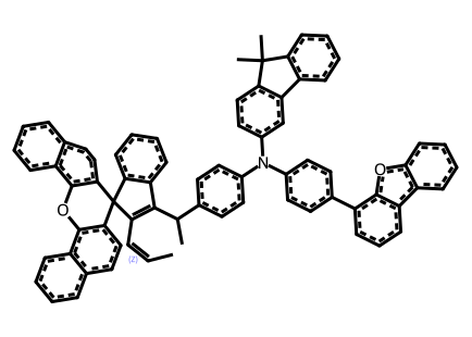 C/C=C\C1=C(C(C)c2ccc(N(c3ccc(-c4cccc5c4oc4ccccc45)cc3)c3ccc4c(c3)-c3ccccc3C4(C)C)cc2)c2ccccc2C12c1ccc3ccccc3c1Oc1c2ccc2ccccc12